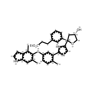 CCOC(=O)CCc1cccc([C@@]2(c3cnc(-c4cc(Oc5c(F)cc6[nH]ccc6c5C)ccc4F)[nH]3)C[C@H](O)CO2)c1